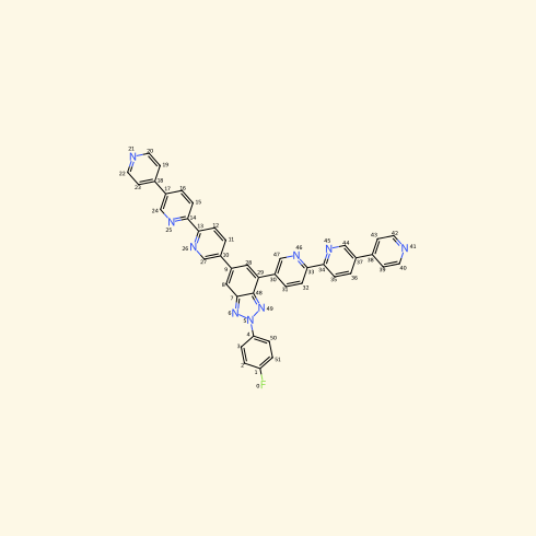 Fc1ccc(-n2nc3cc(-c4ccc(-c5ccc(-c6ccncc6)cn5)nc4)cc(-c4ccc(-c5ccc(-c6ccncc6)cn5)nc4)c3n2)cc1